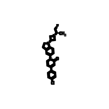 C[C@@H](CF)N1CC(N2CCc3cc(-n4ccc(-c5ccc(Cl)cc5)cc4=O)ccc32)C1